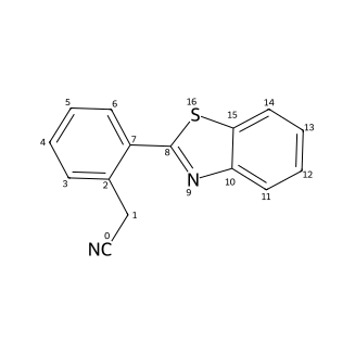 N#CCc1ccccc1-c1nc2ccccc2s1